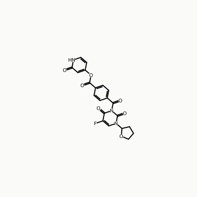 O=C(Oc1cc[nH]c(=O)c1)c1ccc(C(=O)n2c(=O)c(F)cn(C3CCCO3)c2=O)cc1